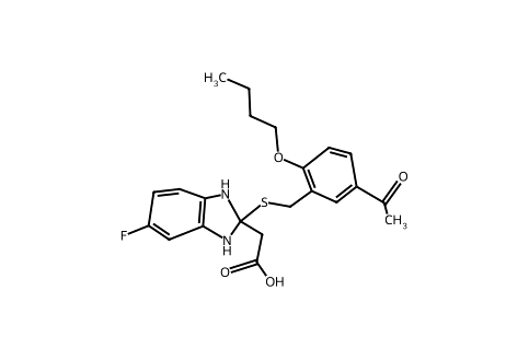 CCCCOc1ccc(C(C)=O)cc1CSC1(CC(=O)O)Nc2ccc(F)cc2N1